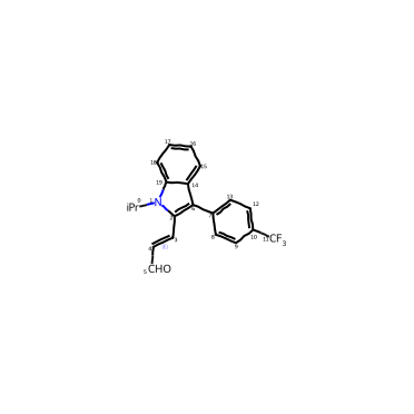 CC(C)n1c(/C=C/C=O)c(-c2ccc(C(F)(F)F)cc2)c2ccccc21